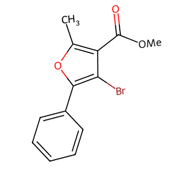 COC(=O)c1c(C)oc(-c2ccccc2)c1Br